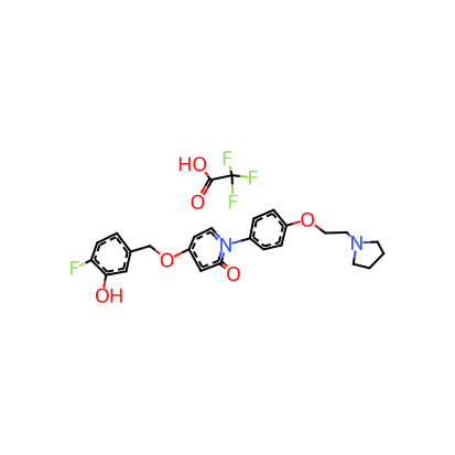 O=C(O)C(F)(F)F.O=c1cc(OCc2ccc(F)c(O)c2)ccn1-c1ccc(OCCN2CCCC2)cc1